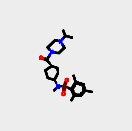 Cc1cc(C)c(S(=O)(=O)N(C)[C@H]2CC[C@H](C(=O)N3CCN(C(C)C)CC3)CC2)c(C)c1